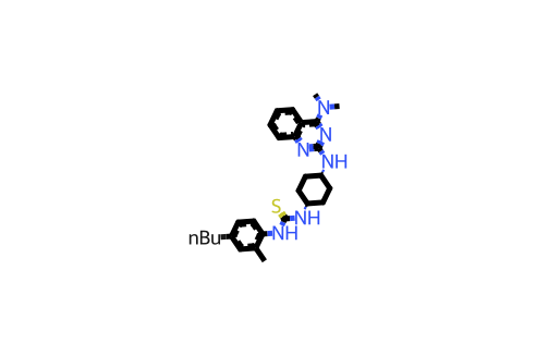 CCCCc1ccc(NC(=S)N[C@H]2CC[C@@H](Nc3nc(N(C)C)c4ccccc4n3)CC2)c(C)c1